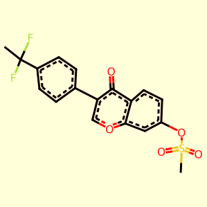 CC(F)(F)c1ccc(-c2coc3cc(OS(C)(=O)=O)ccc3c2=O)cc1